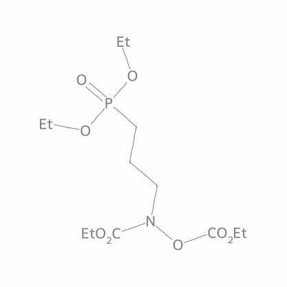 CCOC(=O)ON(CCCP(=O)(OCC)OCC)C(=O)OCC